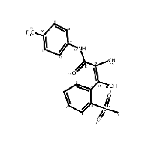 CS(=O)(=O)c1ccccc1C(O)=C(C#N)C(=O)Nc1ccc(C(F)(F)F)cc1